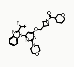 O=C(C1CCCOC1)N1CC(COc2cc(-n3c(C(F)F)nc4ccccc43)nc(N3CCOCC3)n2)C1